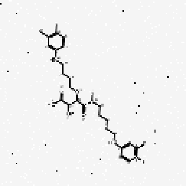 Cc1ccc(NCCCCCN(C)C(=O)C(OCCCCNc2ccc(C)c(C)c2)C(O)C(=O)O)cc1C